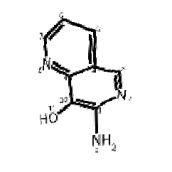 Nc1ncc2cccnc2c1O